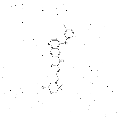 Cc1cccc(Nc2ncnc3ccc(NC(=O)/C=C/CN4CC(=O)OCC4(C)C)cc23)c1